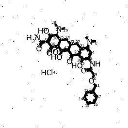 CN(C)c1cc(NC(=O)COCc2ccccc2)c(O)c2c1CC1CC3[C@H](N(C)C)C(O)=C(C(N)=O)C(=O)[C@@]3(O)C(O)=C1C2=O.Cl